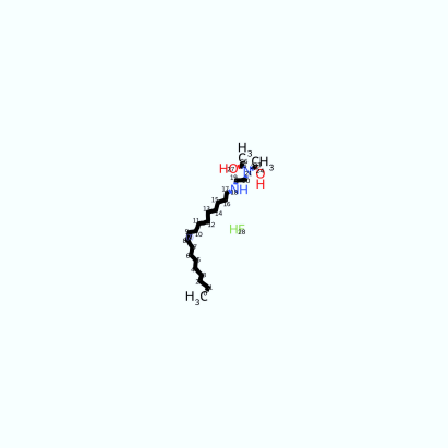 CCCCCCCC/C=C\CCCCCCCCNCCN(C(C)O)C(C)O.F